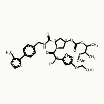 COSC(C)C(C)OC(=O)O[C@@H]1C[C@@H](C(=O)NCc2ccc(-c3scnc3C)cc2)N(C(=O)[C@@H](c2cc(OCC=O)no2)C(C)C)C1